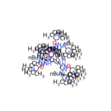 CCCCN(C1=NN(OC2CC(C)(C)N(C)C(C)(C)C2)NC(N(CCCN(C2=CC(N(CCCC)C3CC(C)(C)N(C)C(C)(C)C3)=NN(OC3CC(C)(C)N(C)C(C)(C)C3)N2)C2CC(C)(C)N(C)C(C)(C)C2)CCCN(C2=CC(N(CCCC)C3CC(C)(C)N(C)C(C)(C)C3)=NN(OC3CC(C)(C)N(C)C(C)(C)C3)N2)C2CC(C)(C)N(C)C(C)(C)C2)=C1)C1CC(C)(C)N(C)C(C)(C)C1